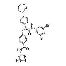 O=C(Nc1nn[nH]n1)c1ccc(CN(C(=O)Nc2cc(Br)cc(Br)c2)c2ccc(C3=CCCCC3)cc2)cc1